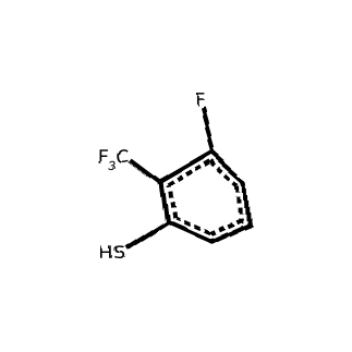 Fc1cccc(S)c1C(F)(F)F